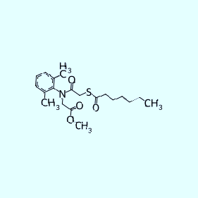 CCCCCCC(=O)SCC(=O)N(CC(=O)OC)c1c(C)cccc1C